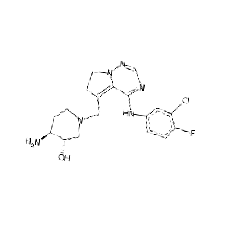 N[C@H]1CCN(CC2=C3C(Nc4ccc(F)c(Cl)c4)=NC=NN3CC2)C[C@@H]1O